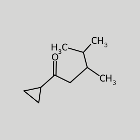 CC(C)C(C)CC(=O)C1CC1